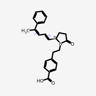 C/C(=C/C=C/[C@H]1CCC(=O)N1CCc1ccc(C(=O)O)cc1)c1ccccc1